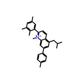 Cc1ccc(-c2cc(CC(C)C)c3ccc(-c4cc(C)cc(C)c4C)[n+](C)c3c2)cc1